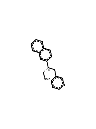 CNC[C@@H](Cc1cccnc1)c1ccc2ccccc2c1